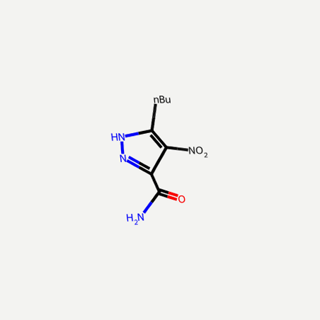 CCCCc1[nH]nc(C(N)=O)c1[N+](=O)[O-]